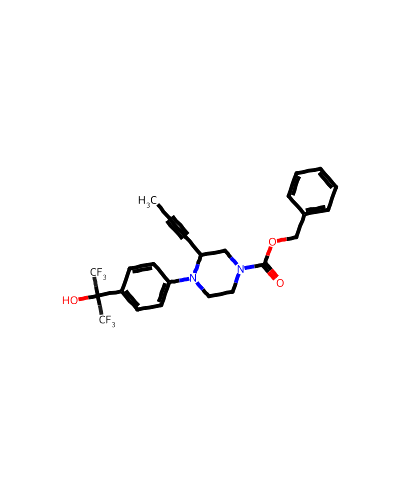 CC#CC1CN(C(=O)OCc2ccccc2)CCN1c1ccc(C(O)(C(F)(F)F)C(F)(F)F)cc1